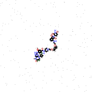 COc1cc(C(=O)NC2CCN(CCOCC(C)(C)CC(C)(C)COCCNc3cccc4c3C(=O)N(C3CCC(=O)NC3=O)C4=O)CC2)c(F)cc1Nc1ncc2c(n1)N(C1CCCC1)CC(F)(F)C(=O)N2C